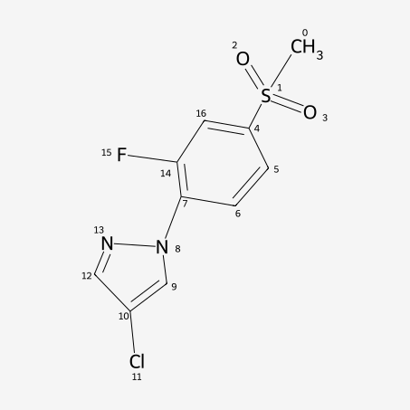 CS(=O)(=O)c1ccc(-n2cc(Cl)cn2)c(F)c1